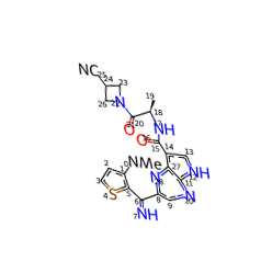 CNc1ccsc1C(=N)c1cnc2[nH]cc(C(=O)N[C@H](C)C(=O)N3CC(C#N)C3)c2n1